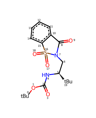 CC(C)(C)OC(=O)N[C@@H](CN1C(=O)c2ccccc2S1(=O)=O)C(C)(C)C